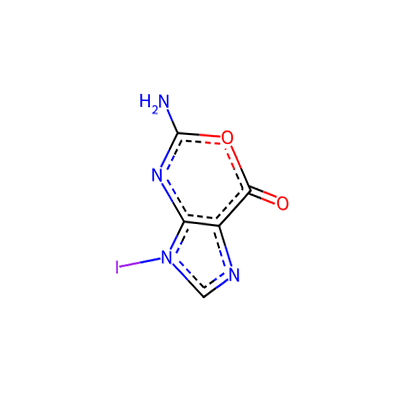 Nc1nc2c(ncn2I)c(=O)o1